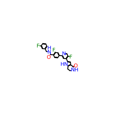 O=C(NCc1cccc(F)c1)c1ccc(-c2cc(-c3cc4c([nH]3)CCNC4=O)c(F)cn2)cc1F